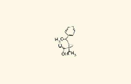 C[C@@H](c1ccccc1)[C@@H]1C[C@]1(C)C(=O)O